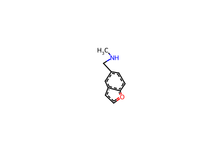 CNCc1ccc2occc2c1